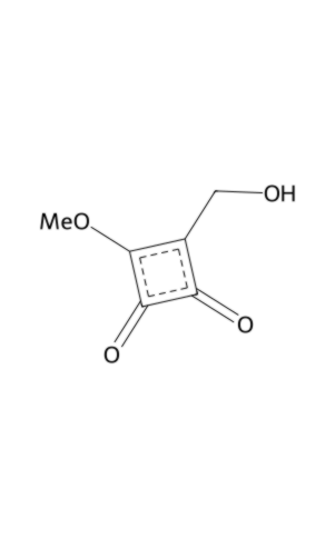 COc1c(CO)c(=O)c1=O